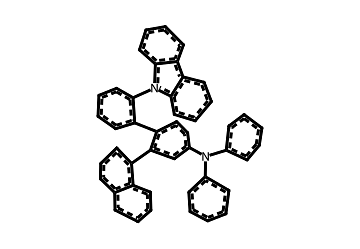 c1ccc(N(c2ccccc2)c2ccc(-c3ccccc3-n3c4ccccc4c4ccccc43)c(-c3cccc4ccccc34)c2)cc1